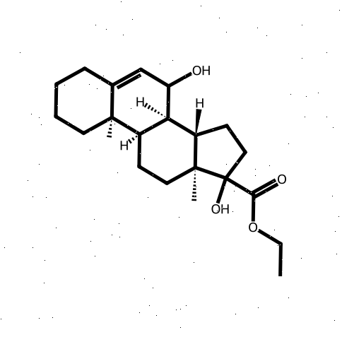 CCOC(=O)C1(O)CC[C@H]2[C@@H]3C(O)C=C4CCCC[C@]4(C)[C@@H]3CC[C@@]21C